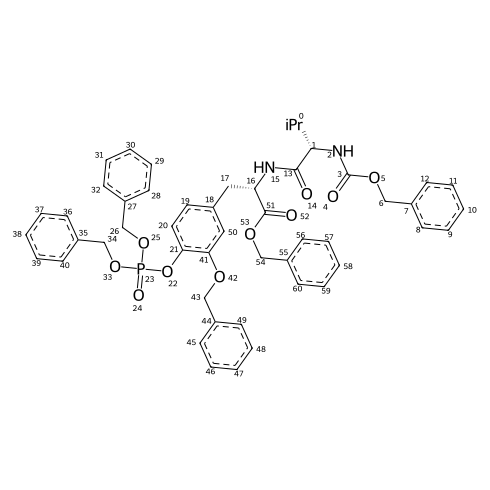 CC(C)[C@H](NC(=O)OCc1ccccc1)C(=O)N[C@@H](Cc1ccc(OP(=O)(OCc2ccccc2)OCc2ccccc2)c(OCc2ccccc2)c1)C(=O)OCc1ccccc1